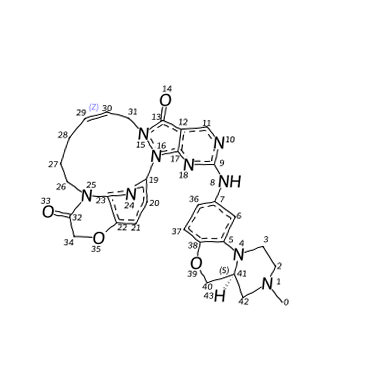 CN1CCN2c3cc(Nc4ncc5c(=O)n6n(c5n4)-c4ccc5c(n4)N(CCC/C=C\C6)C(=O)CO5)ccc3OC[C@@H]2C1